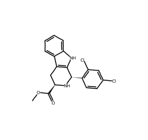 COC(=O)[C@H]1Cc2c([nH]c3ccccc23)[C@H](c2ccc(Cl)cc2Cl)N1